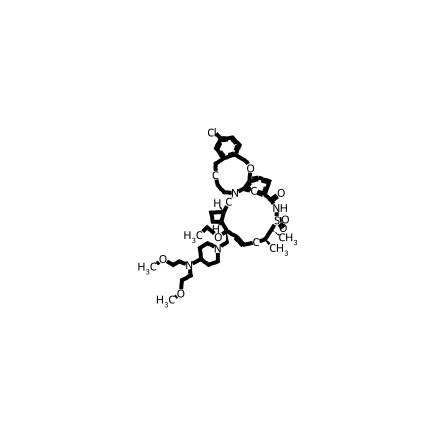 CCO[C@@]1(CN2CCC(N(CCOC)CCOC)CC2)/C=C/C[C@H](C)[C@@H](C)S(=O)(=O)NC(=O)c2ccc3c(c2)N(CCCCc2cc(Cl)ccc2CO3)C[C@@H]2CC[C@H]21